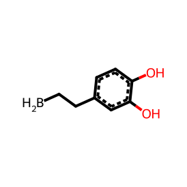 BCCc1ccc(O)c(O)c1